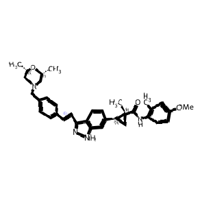 COc1ccc(NC(=O)[C@]2(C)C[C@H]2c2ccc3c(/C=C/c4ccc(CN5C[C@@H](C)O[C@@H](C)C5)cc4)n[nH]c3c2)c(C)c1